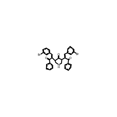 O=C(C(=Cc1cccc(Br)c1)C1CNCC(C(=Cc2cccc(Br)c2)C(=O)c2ccccc2)C1=O)c1ccccc1